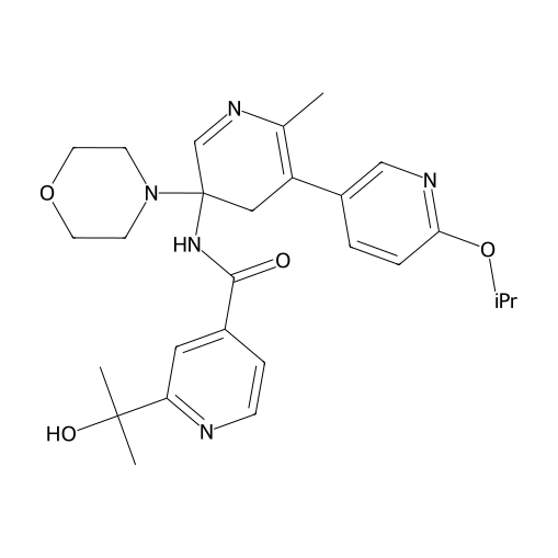 CC1=C(c2ccc(OC(C)C)nc2)CC(NC(=O)c2ccnc(C(C)(C)O)c2)(N2CCOCC2)C=N1